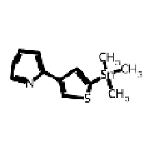 [CH3][Sn]([CH3])([CH3])[c]1cc(-c2ccccn2)cs1